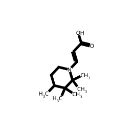 CC1CCN(C=CC(=O)O)C(C)(C)C1(C)C